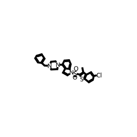 Cc1c(S(=O)(=O)n2ccc3c(N4CCN(Cc5ccccc5)CC4)cccc32)sc2ccc(Cl)cc12